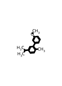 COc1cccc(-c2cc(C(C)C)ccc2C)c1